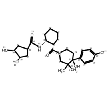 CC1(C)CN(C(=O)[C@H]2CCCC[C@H]2NC(=O)C2C[C@@H](O)[C@@H](O)C2)CC[C@]1(O)c1ccc(Cl)cc1